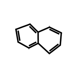 [c]1cccc2[c]cccc12